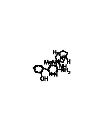 CNC(=N)N1[C@@H]2CC[C@H]1CN(c1cc(-c3ccccc3O)nnc1N)C2